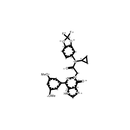 COc1cc(OC)cc(-c2nn(CC(=O)N(c3ccc4c(c3)OC(F)(F)O4)C3CC3)c(=O)c3nc[nH]c23)c1